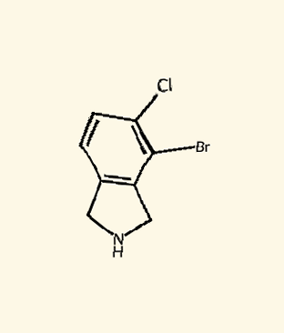 Clc1ccc2c(c1Br)CNC2